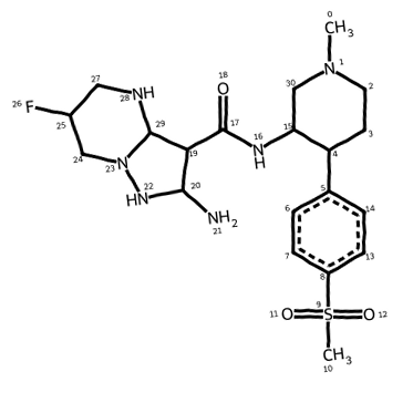 CN1CCC(c2ccc(S(C)(=O)=O)cc2)C(NC(=O)C2C(N)NN3CC(F)CNC23)C1